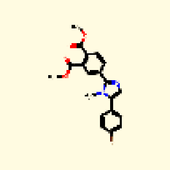 COC(=O)c1ccc(-c2ncc(-c3ccc(Br)cc3)n2C)cc1C(=O)OC